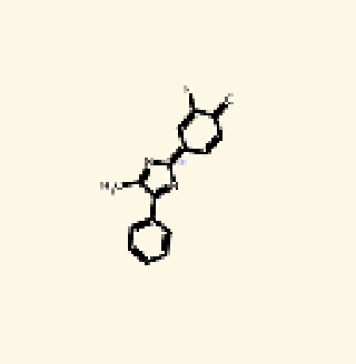 CC1=N/C(=C2/C=CC(=O)C(F)=C2)N=C1c1ccccc1